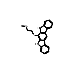 CNCCOc1c2[nH]c3ccccc3c2cc2c1[nH]c1ccccc12